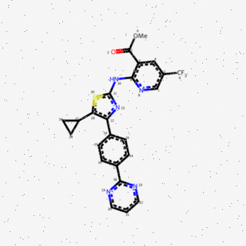 COC(=O)c1cc(C(F)(F)F)cnc1Nc1nc(-c2ccc(-c3ncccn3)cc2)c(C2CC2)s1